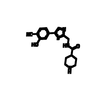 N#Cc1ccc(-c2cnc(CNC(=O)C3CCNCC3)s2)cc1O